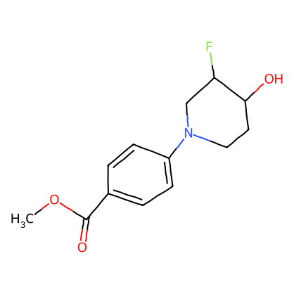 COC(=O)c1ccc(N2CCC(O)C(F)C2)cc1